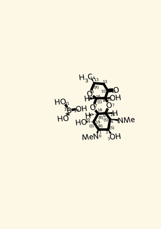 CN[C@@H]1[C@H](O)[C@H](NC)[C@H]2O[C@@]3(O)C(=O)C[C@@H](C)O[C@H]3O[C@@H]2[C@H]1O.OB(O)O